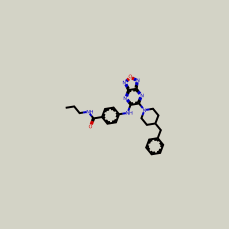 CCCNC(=O)c1ccc(Nc2nc3nonc3nc2N2CCC(Cc3ccccc3)CC2)cc1